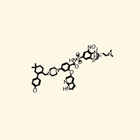 CN(C)CC[C@@H]1CSc2cc(S(=O)(=O)NC(=O)c3ccc(N4CCN(CC5=C(c6ccc(Cl)cc6)CC(C)(C)CC5)CC4)cc3Oc3cnc4[nH]ccc4c3)cc([N+](=O)[O-])c2N1